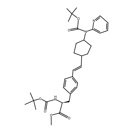 COC(=O)[C@H](Cc1ccc(/C=C/C2CCC(N(C(=O)OC(C)(C)C)c3ccccn3)CC2)cc1)NC(=O)OC(C)(C)C